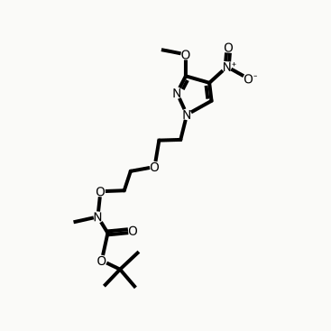 COc1nn(CCOCCON(C)C(=O)OC(C)(C)C)cc1[N+](=O)[O-]